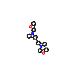 c1ccc2c(c1)oc1cc(-n3c4ccccc4c4cc(-c5ccc6c(c5)c5ccccc5n6-c5cccc6oc7ccccc7c56)ccc43)ccc12